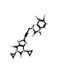 CN(CC#Cc1nc2c([nH]1)c(=O)n(C1CC1)c(=O)n2C1CC1)C(=O)N(C)c1ccc(F)c(F)c1